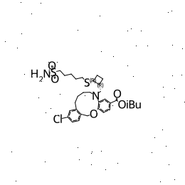 CC(C)COC(=O)c1ccc2c(c1)N(C[C@H]1CC[C@H]1SCCCCCS(N)(=O)=O)CCCCc1cc(Cl)ccc1CO2